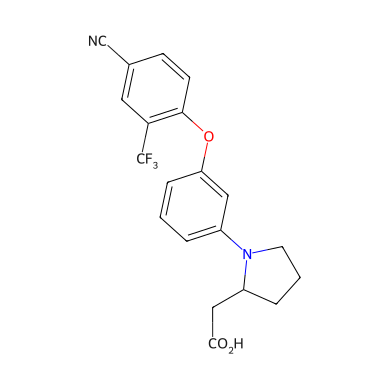 N#Cc1ccc(Oc2cccc(N3CCCC3CC(=O)O)c2)c(C(F)(F)F)c1